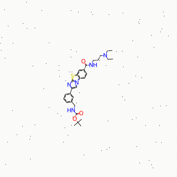 CCN(CC)CCCNC(=O)c1ccc2c(c1)sc1nc(-c3cccc(CNC(=O)OC(C)(C)C)c3)cn12